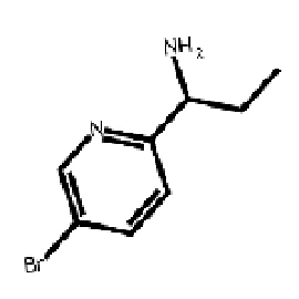 CCC(N)c1ccc(Br)cn1